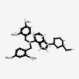 COc1ccc(CN(Cc2ccc(OC)cc2OC)c2ncnc3c2nnn3C2CCCC(CF)C2)c(OC)c1